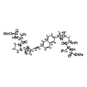 CCCN(Cc1ncc(-c2ccc3cc(C#Cc4cnc([C@@H]5CCCN5C(=O)[C@@H](NC(=O)OC)C(C)C)[nH]4)ccc3c2)[nH]1)C(=O)[C@@H](NC(=O)OC)C(C)C